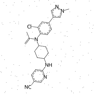 C=C(C)N(c1ccc(-c2cnn(C)c2)cc1Cl)C1CCC(Nc2ccc(C#N)cn2)CC1